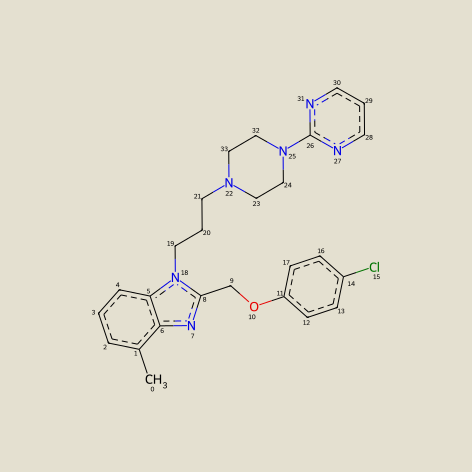 Cc1cccc2c1nc(COc1ccc(Cl)cc1)n2CCCN1CCN(c2ncccn2)CC1